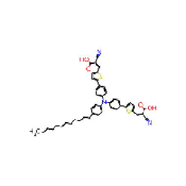 CCCCCCCCCCCCc1ccc(N(c2ccc(-c3ccc(/C=C(/C#N)C(=O)O)s3)cc2)c2ccc(-c3ccc(/C=C(/C#N)C(=O)O)s3)cc2)cc1